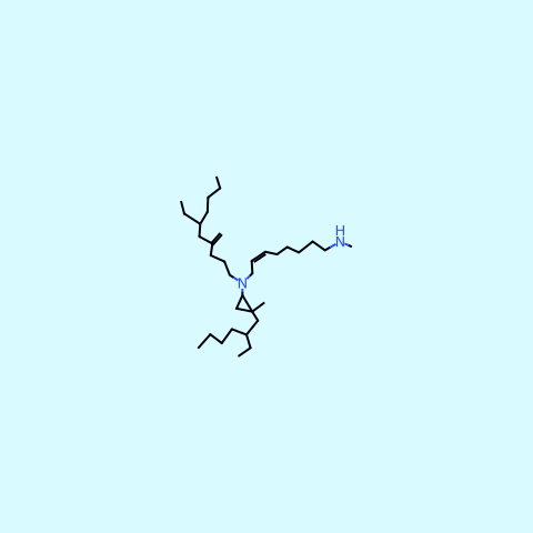 C=C(CCCN(C/C=C\CCCCCNC)C1CC1(C)CC(CC)CCCC)CC(CC)CCCC